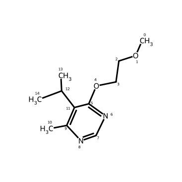 COCCOc1ncnc(C)c1C(C)C